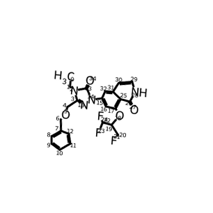 CCn1c(COCc2ccccc2)nn(-c2cc(OC(CF)C(F)F)c3c(=O)[nH]ccc3c2)c1=O